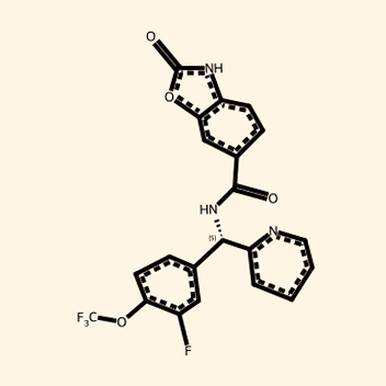 O=C(N[C@@H](c1ccc(OC(F)(F)F)c(F)c1)c1ccccn1)c1ccc2[nH]c(=O)oc2c1